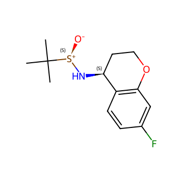 CC(C)(C)[S@@+]([O-])N[C@H]1CCOc2cc(F)ccc21